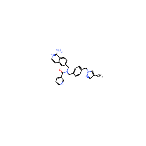 Cc1cnn(Cc2ccc(CN(Cc3ccc4c(N)nccc4c3)C(=O)c3cccnc3)cc2)c1